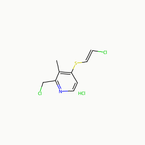 Cc1c(SC=CCl)ccnc1CCl.Cl